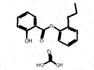 CCCc1ccccc1OC(=O)c1ccccc1O.O=C(O)O